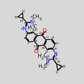 CN(C)C(=Nc1ccc2c(c1)C(=O)c1ccc(N=C(C3CC3)N(C)C)cc1C2=O)C1CC1